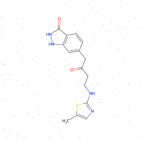 Cc1cnc(NCCC(=O)Cc2ccc3c(=O)[nH][nH]c3c2)s1